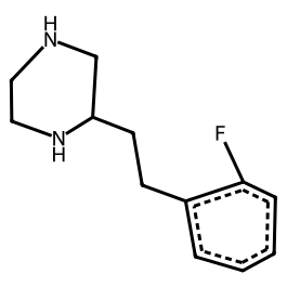 Fc1ccccc1CCC1CNCCN1